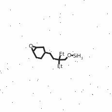 CCC(CC)(CCC1CCC2OC2C1)CO[SiH3]